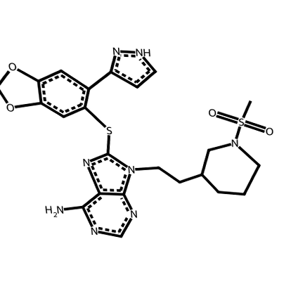 CS(=O)(=O)N1CCCC(CCn2c(Sc3cc4c(cc3-c3cc[nH]n3)OCO4)nc3c(N)ncnc32)C1